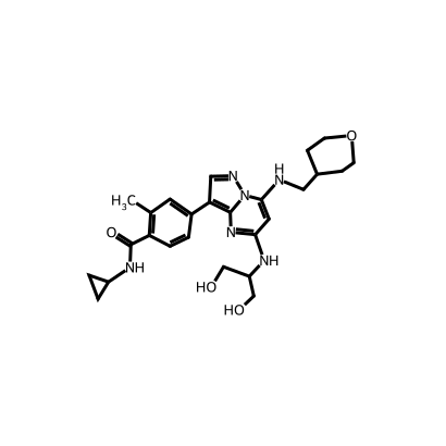 Cc1cc(-c2cnn3c(NCC4CCOCC4)cc(NC(CO)CO)nc23)ccc1C(=O)NC1CC1